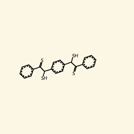 S=C(c1ccccc1)C(S)c1ccc(C(S)C(=S)c2ccccc2)cc1